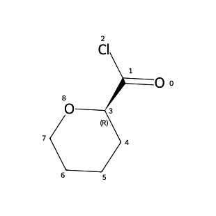 O=C(Cl)[C@H]1CCCCO1